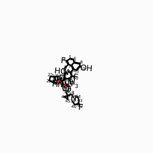 C#Cc1c(F)ccc2cc(O)cc(-c3ncc4c(N5CC6CCC(C5)N6C(=O)NC(C)C(F)(F)F)nc(OCC5(CN6CCC(F)CC6)CC5)nc4c3F)c12